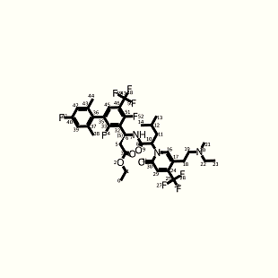 CCOC(=O)C[C@H](NC(=O)C(CC(C)C)n1cc(CCN(C)CC)c(C(F)(F)F)cc1=O)c1c(F)c(-c2c(C)cc(F)cc2C)cc(C(F)(F)F)c1F